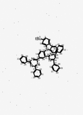 CC(C)(C)c1ccc2c3ccccc3n(-c3ccc(-c4nc(-c5ccccc5)nc(-c5ccccc5)n4)cc3-c3nc(-c4ccccc4)cc(-c4ccccc4)n3)c2c1